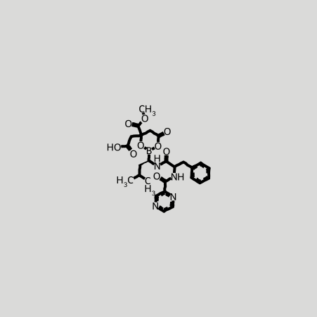 COC(=O)C1(CC(=O)O)CC(=O)OB([C@H](CC(C)C)NC(=O)C(Cc2ccccc2)NC(=O)c2cnccn2)O1